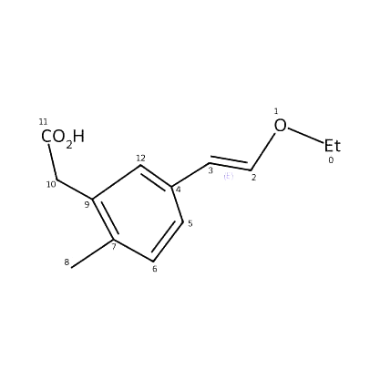 CCO/C=C/c1ccc(C)c(CC(=O)O)c1